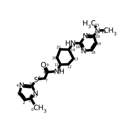 Cc1ccnc(SCC(=O)NC2CCC(Nc3nccc(N(C)C)n3)CC2)n1